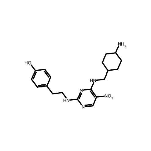 NC1CCC(CNc2nc(NCCc3ccc(O)cc3)ncc2[N+](=O)[O-])CC1